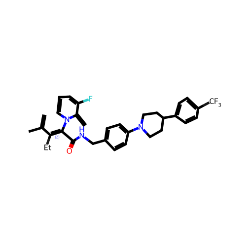 C=C(C)/C(CC)=C(/C(=O)NCc1ccc(N2CCC(c3ccc(C(F)(F)F)cc3)CC2)cc1)N1C=CC=C(F)C1=C